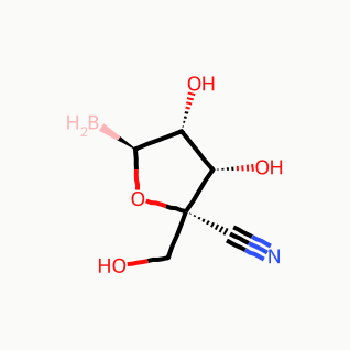 B[C@@H]1O[C@](C#N)(CO)[C@@H](O)[C@H]1O